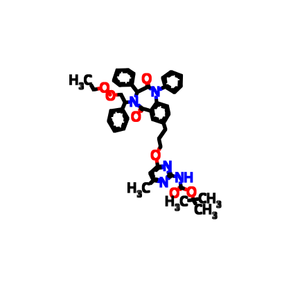 CCOOCC(c1ccccc1)N1C(=O)c2cc(CCCOc3cc(C)nc(NC(=O)OC(C)(C)C)n3)ccc2N(c2ccccc2)C(=O)C1c1ccccc1